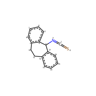 S=C=NC1c2ccccc2CCc2ccccc21